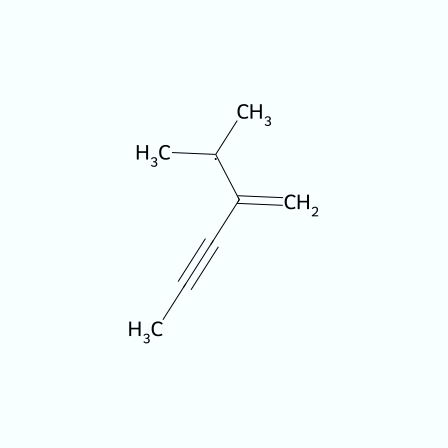 C=C(C#CC)[C](C)C